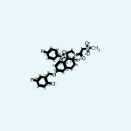 CS(=O)(=O)CC(=O)N1CC[C@@]2(S(=O)(=O)c3ccc(F)cc3)c3ccc(OCc4cc(F)ccc4Cl)cc3CC[C@@H]12